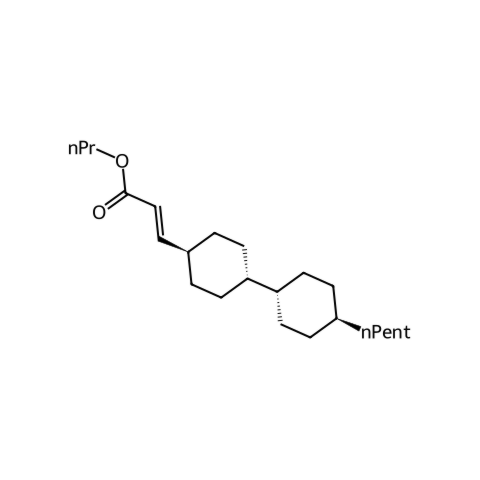 CCCCC[C@H]1CC[C@H]([C@H]2CC[C@H](C=CC(=O)OCCC)CC2)CC1